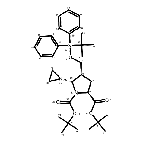 CC(C)(C)OC(=O)[C@@H]1C[C@H](CO[Si](c2ccccc2)(c2ccccc2)C(C)(C)C)[C@@H](N2CC2)N1C(=O)OC(C)(C)C